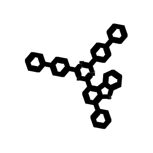 c1ccc(-c2ccc(-c3nc(-c4ccc(-c5ccccc5)cc4)nc(-c4ccc(-c5ccccc5)c5sc6ccccc6c45)n3)cc2)cc1